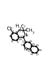 CC1(C)Cc2c(Cl)cccc2C(c2cnc3ccccc3c2)=N1